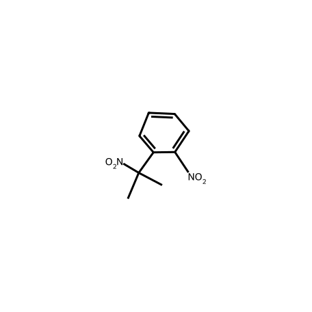 CC(C)(c1ccccc1[N+](=O)[O-])[N+](=O)[O-]